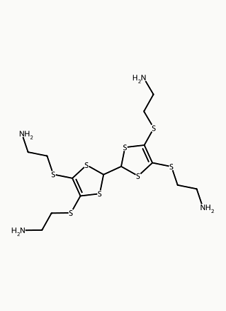 NCCSC1=C(SCCN)SC(C2SC(SCCN)=C(SCCN)S2)S1